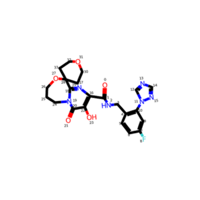 O=C(NCc1ccc(F)cc1-n1cncn1)c1nc2n(c(=O)c1O)CCCOC21CCOCC1